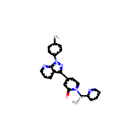 C[C@@H](c1ccccn1)n1ccc(-c2nn(-c3ccc(C(F)(F)F)cc3)c3ncccc23)cc1=O